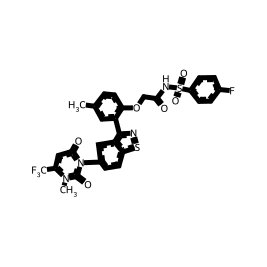 Cc1ccc(OCC(=O)NS(=O)(=O)c2ccc(F)cc2)c(-c2nsc3ccc(-n4c(=O)cc(C(F)(F)F)n(C)c4=O)cc23)c1